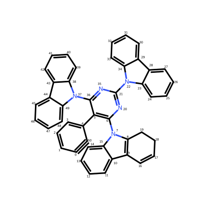 c1cccc(-c2c(-n3c4c(c5ccccc53)C=CCC4)nc(-n3c4ccccc4c4ccccc43)nc2-n2c3ccccc3c3ccccc32)c#1